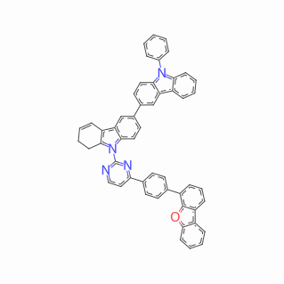 C1=Cc2c(n(-c3nccc(-c4ccc(-c5cccc6c5oc5ccccc56)cc4)n3)c3ccc(-c4ccc5c(c4)c4ccccc4n5-c4ccccc4)cc23)CC1